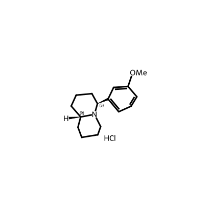 COc1cccc([C@@H]2CCC[C@H]3CCCCN32)c1.Cl